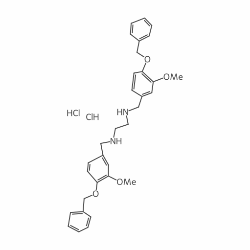 COc1cc(CNCCNCc2ccc(OCc3ccccc3)c(OC)c2)ccc1OCc1ccccc1.Cl.Cl